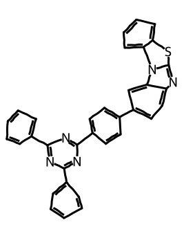 c1ccc(-c2nc(-c3ccccc3)nc(-c3ccc(-c4ccc5nc6sc7ccccc7n6c5c4)cc3)n2)cc1